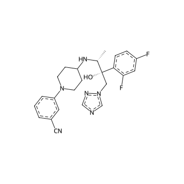 C[C@@H](NC1CCN(c2cccc(C#N)c2)CC1)[C@](O)(Cn1cncn1)c1ccc(F)cc1F